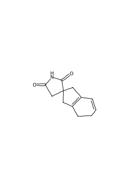 O=C1CC2(CC3=C(CCC=C3)C2)C(=O)N1